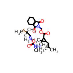 CC(C)=CC1C(C(=O)OCN2C(=O)C3=C(CCCC3)C2=O)C1(C)C.CNC(=O)O/N=C/C(C)(C)SC